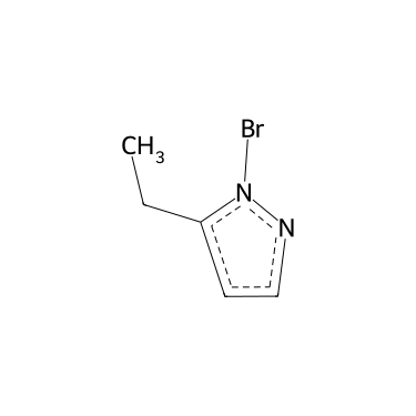 CCc1ccnn1Br